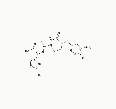 Cc1nc(C(NC(=O)N2CCN(Cc3ccc(C)c(C)c3)C(=O)C2=O)C(=O)O)cs1